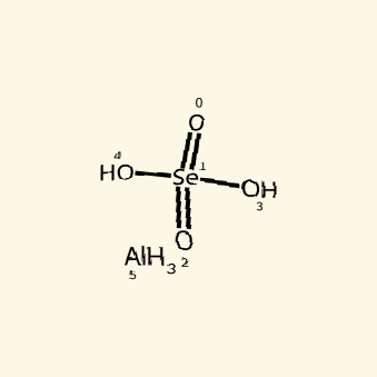 O=[Se](=O)(O)O.[AlH3]